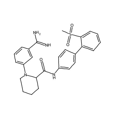 CS(=O)(=O)c1ccccc1-c1ccc(NC(=O)C2CCCCN2c2cccc(C(=N)N)c2)cc1